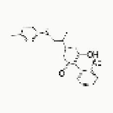 CC(=O)c1ccccc1C1=C(O)CC(C(C)CSc2ccc(C)cc2)CC1=O